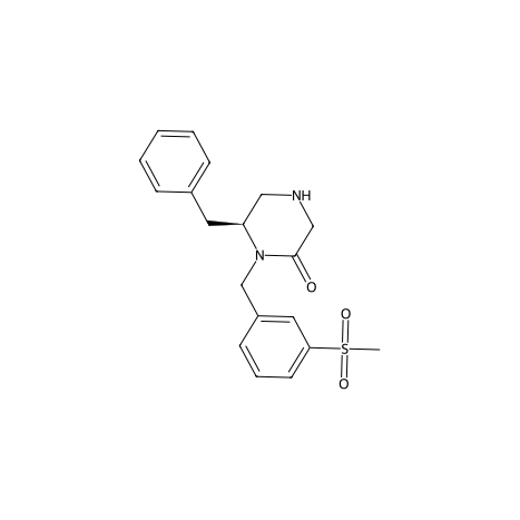 CS(=O)(=O)c1cccc(CN2C(=O)CNC[C@@H]2Cc2ccccc2)c1